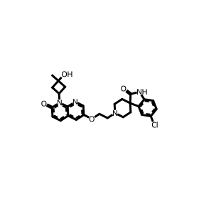 CC1(O)CC(n2c(=O)ccc3cc(OCCN4CCC5(CC4)C(=O)Nc4ccc(Cl)cc45)cnc32)C1